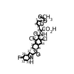 CS(=O)(=O)c1ccc(C[C@H](NC(=O)c2c(Cl)cc3c(c2Cl)CCN(C(=O)C2C=C4C=C(F)C=CC4N2)C3)C(=O)O)o1